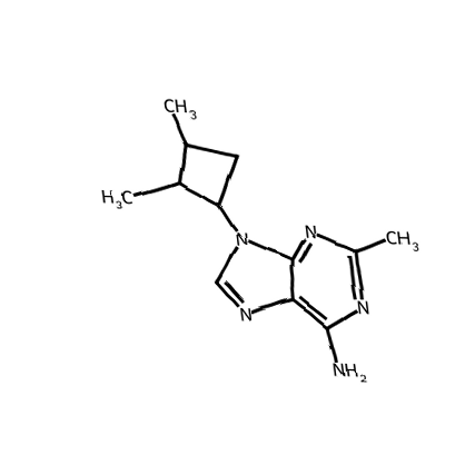 Cc1nc(N)c2ncn(C3CC(C)C3C)c2n1